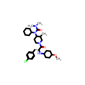 COC1CCC(N[C@H](Cc2ccc(Cl)cc2)C(=O)N2CCC(N(C(=O)N(C)C)C3CCCCC3)C(C)C2)CC1